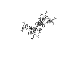 CC(C)CCC(CCC(C)C)C(=O)NCCC(CCNC(=O)C(CCC(C)C)CCC(C)C)C(=O)NCC(CCC(CNC(=O)C(CCNC(=O)C(CCC(C)C)CCC(C)C)CCNC(=O)C(CCC(C)C)CCC(C)C)C(=O)NCC(=O)C(C)C)C(=O)NCC(=O)C(C)C